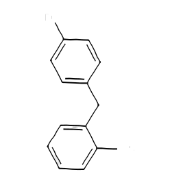 CCc1ccc(Cc2ccccc2OC(C)=O)cc1